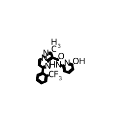 Cc1nn2ccc(-c3ccccc3C(F)(F)F)nc2c1C(=O)Nc1cccc(O)n1